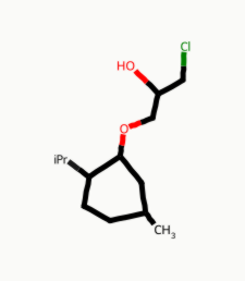 CC1CCC(C(C)C)C(OCC(O)CCl)C1